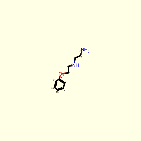 NCCNCCOc1ccccc1